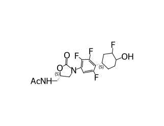 CC(=O)NC[C@H]1CN(c2cc(F)c([C@H]3CCC(O)C(F)C3)c(F)c2F)C(=O)O1